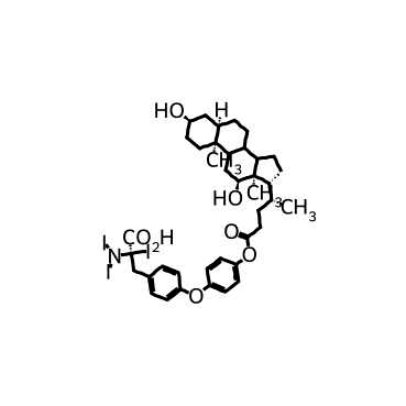 C[C@H](CCC(=O)Oc1ccc(Oc2ccc(C[C@@](I)(C(=O)O)N(I)I)cc2)cc1)[C@H]1CCC2C3CC[C@@H]4C[C@H](O)CC[C@]4(C)C3C[C@H](O)[C@@]21C